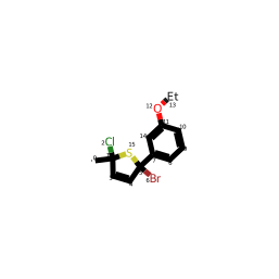 [CH2]C1(Cl)C=CC(Br)(c2cccc(OCC)c2)S1